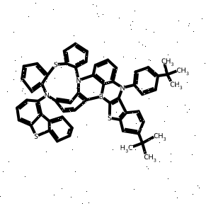 CC(C)(C)c1ccc(N2c3cccc4c3B(c3ccc5cc3N4c3ccccc3Sc3ccccc3N5c3cccc4sc5ccccc5c34)c3sc4cc(C(C)(C)C)ccc4c32)cc1